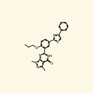 CCCOc1ccc(-c2nc(-c3ccccc3)cs2)cc1-c1nc2c(c(C)nn2C)c(=O)[nH]1